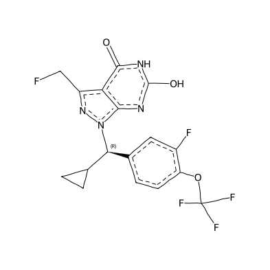 O=c1[nH]c(O)nc2c1c(CF)nn2[C@@H](c1ccc(OC(F)(F)F)c(F)c1)C1CC1